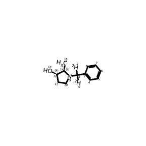 [2H]C([2H])(c1ccccc1)N1CC[C@@H](O)[C@H]1C